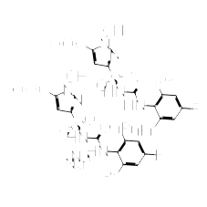 CC(C)c1cc(F)cc(C(C)C)c1NC(=O)NS(=O)(=O)c1cc(C(=O)[O-])n(C)n1.CC(C)c1cc(F)cc(C(C)C)c1NC(=O)NS(=O)(=O)c1cc(C(=O)[O-])n(C)n1.[Na+].[Na+]